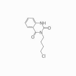 O=c1[nH]c2ccccc2c(=O)n1CCCCCl